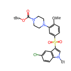 CCn1cc(S(=O)(=O)c2ccc(OC)c(N3CCN(C(=O)OC(C)(C)C)CC3)c2)c2cc(Cl)ccc21